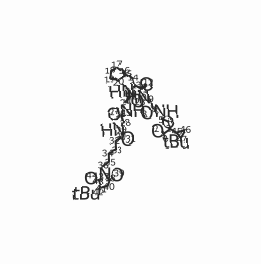 CC(C)(C)C(=O)[C@@H](OCNC(=O)CNC(=O)[C@H](Cc1ccccc1)NC(=O)CNC(=O)CNC(=O)CCCCCN1C(=O)CC(C(C)(C)C)C1=O)C1CC1